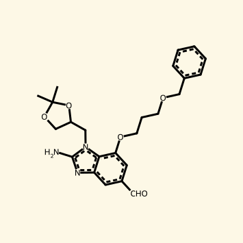 CC1(C)OCC(Cn2c(N)nc3cc(C=O)cc(OCCCOCc4ccccc4)c32)O1